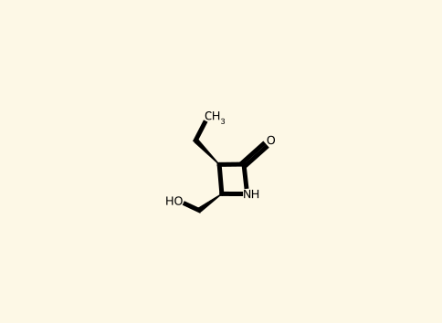 CC[C@H]1C(=O)N[C@H]1CO